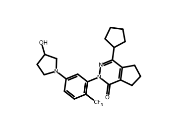 O=c1c2c(c(C3CCCC3)nn1-c1cc(N3CCC(O)C3)ccc1C(F)(F)F)CCC2